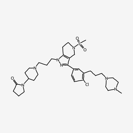 CN1CCN(CCCc2cc(-c3nn(CCCN4CCC(N5CCCC5=O)CC4)c4c3CN(S(C)(=O)=O)CC4)ccc2Cl)CC1